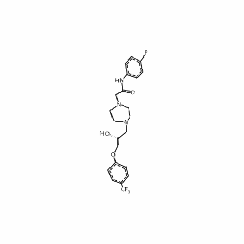 O=C(CN1CCN(C[C@@H](O)COc2ccc(C(F)(F)F)cc2)CC1)Nc1ccc(F)cc1